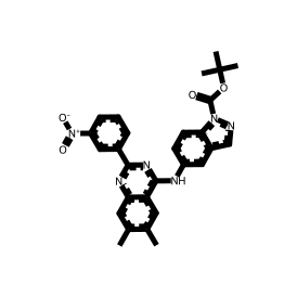 Cc1cc2nc(-c3cccc([N+](=O)[O-])c3)nc(Nc3ccc4c(cnn4C(=O)OC(C)(C)C)c3)c2cc1C